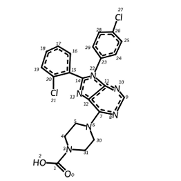 O=C(O)N1CCN(c2ncnc3c2nc(-c2ccccc2Cl)n3-c2ccc(Cl)cc2)CC1